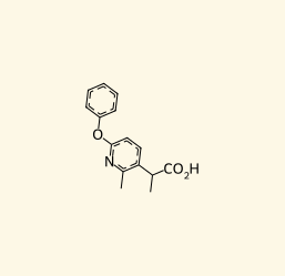 Cc1nc(Oc2ccccc2)ccc1C(C)C(=O)O